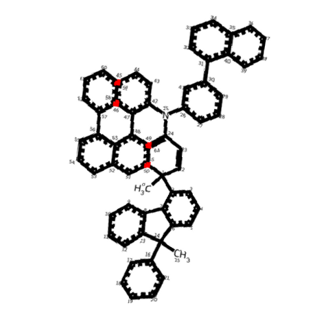 CC1(c2cccc3c2-c2ccccc2C3(C)c2ccccc2)C=CC(N(c2cccc(-c3cccc4ccccc34)c2)c2ccccc2-c2cccc3cccc(-c4ccccc4)c23)=CC1